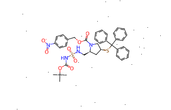 CC(C)(C)OC(=O)NS(=O)(=O)NC[C@@H]1C[C@H](SC(c2ccccc2)(c2ccccc2)c2ccccc2)CN1C(=O)OCc1ccc([N+](=O)[O-])cc1